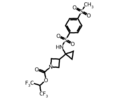 CS(=O)(=O)c1ccc(S(=O)(=O)NC2(C3CN(C(=O)OC(C(F)(F)F)C(F)(F)F)C3)CC2)cc1